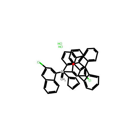 Cl.Cl.[CH2]=[Zr]([C]1=CC=CC1)([c]1cc(Cl)cc2ccccc12)([c]1cc(Cl)cc2ccccc12)[c]1cccc2c1c1c(c3ccccc32)-c2ccccc2C1